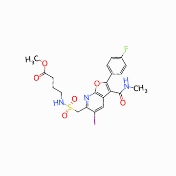 CNC(=O)c1c(-c2ccc(F)cc2)oc2nc(CS(=O)(=O)NCCCC(=O)OC)c(I)cc12